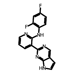 Fc1ccc(Nc2ncccc2-c2ncc3cc[nH]c3n2)c(F)c1